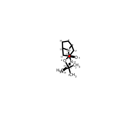 CC(C)(C)OC(=O)N1C2CCC1CC(N=[N+]=[N-])C2